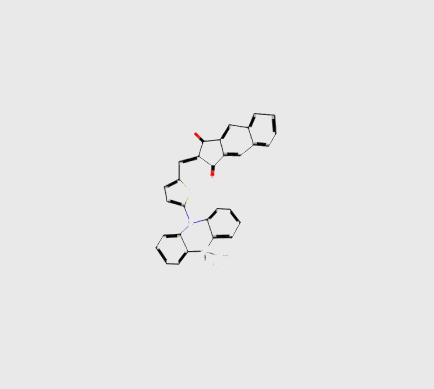 C[Si]1(C)c2ccccc2N(c2ccc(C=C3C(=O)c4cc5ccccc5cc4C3=O)s2)c2ccccc21